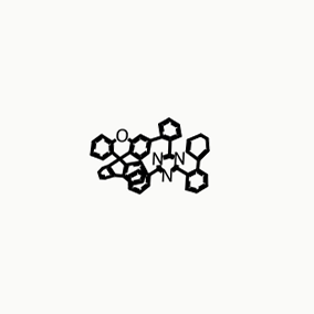 C1=CC(c2ccccc2-c2nc(-c3ccccc3)nc(-c3ccccc3-c3ccc4c(c3)Oc3ccccc3C43C4=C(C=CCC4)c4ccccc43)n2)=CCC1